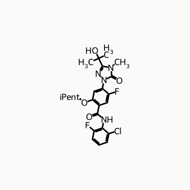 CCCC(C)Oc1cc(-n2nc(C(C)(C)O)n(C)c2=O)c(F)cc1C(=O)Nc1c(F)cccc1Cl